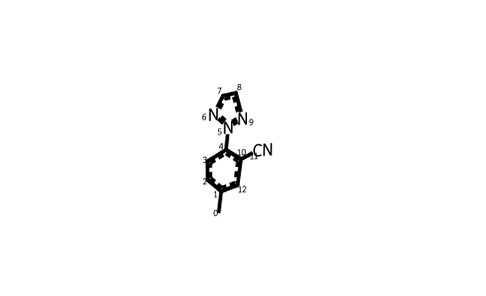 Cc1ccc(-n2nccn2)c(C#N)c1